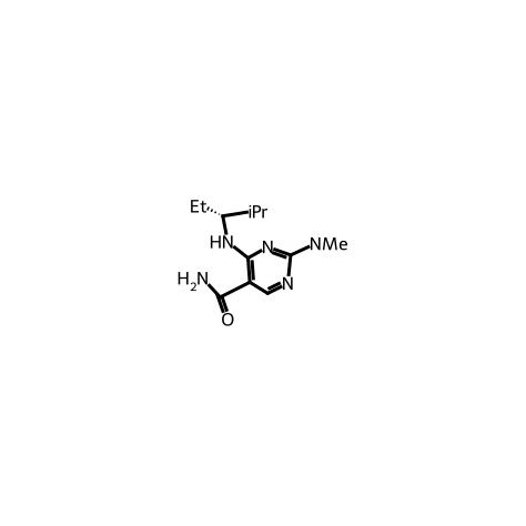 CC[C@@H](Nc1nc(NC)ncc1C(N)=O)C(C)C